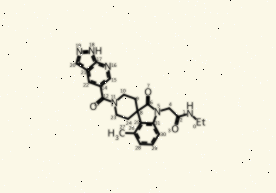 CCNC(=O)CN1C(=O)C2(CCN(C(=O)c3cnc4[nH]ncc4c3)CC2)c2c(C)cccc21